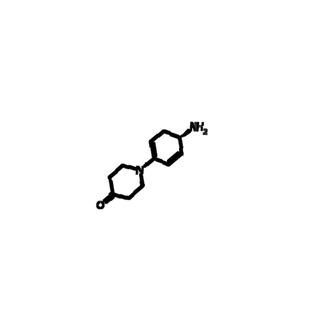 N[C@H]1C=CC(N2CCC(=O)CC2)=CC1